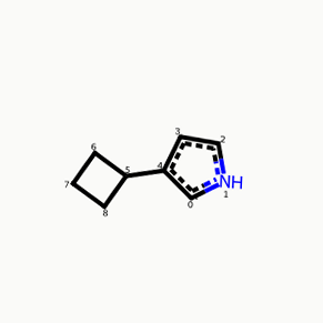 [c]1[nH]ccc1C1CCC1